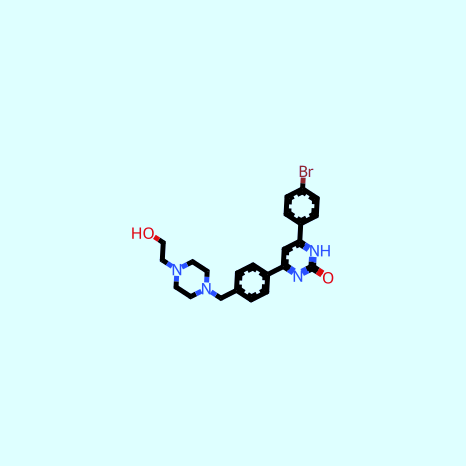 O=c1nc(-c2ccc(CN3CCN(CCO)CC3)cc2)cc(-c2ccc(Br)cc2)[nH]1